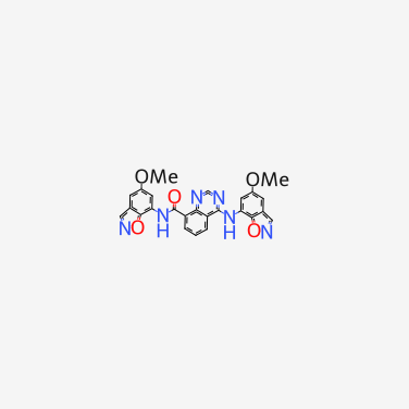 COc1cc(NC(=O)c2cccc3c(Nc4cc(OC)cc5cnoc45)ncnc23)c2oncc2c1